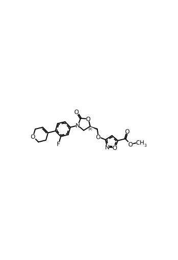 COC(=O)c1cc(OC[C@H]2CN(c3ccc(C4=CCOCC4)c(F)c3)C(=O)O2)no1